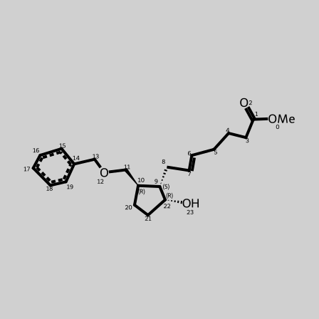 COC(=O)CCCC=CC[C@H]1[C@H](COCc2ccccc2)CC[C@H]1O